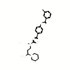 Cc1cccc(C(=O)Nc2ccc(-c3nnc(N(CCC(N4CCCCC4)C(C)(C)C)C(=O)O)o3)cc2)c1